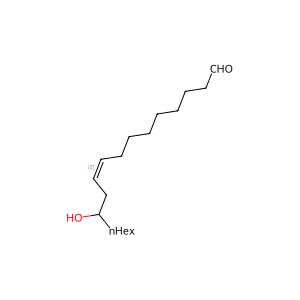 CCCCCCC(O)C/C=C\CCCCCCCC=O